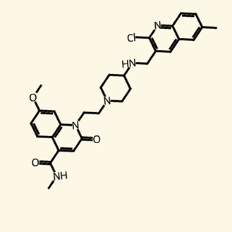 CNC(=O)c1cc(=O)n(CCN2CCC(NCc3cc4cc(C)ccc4nc3Cl)CC2)c2cc(OC)ccc12